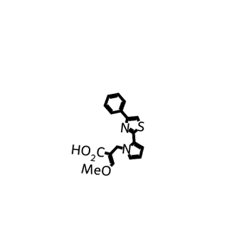 COC=C(Cn1cccc1-c1nc(-c2ccccc2)cs1)C(=O)O